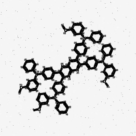 COc1cccc(N(c2ccccc2)c2ccc(-c3nc4nc(-c5ccc(N(c6ccccc6)c6cccc(OC)c6)cc5)c(-c5ccc(N(c6ccccc6)c6cccc(OC)c6)cc5)nc4nc3-c3ccc(N(c4ccccc4)c4cccc(OC)c4)cc3)cc2)c1